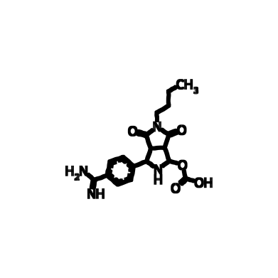 CCCCN1C(=O)C2C(OC(=O)O)NC(c3ccc(C(=N)N)cc3)C2C1=O